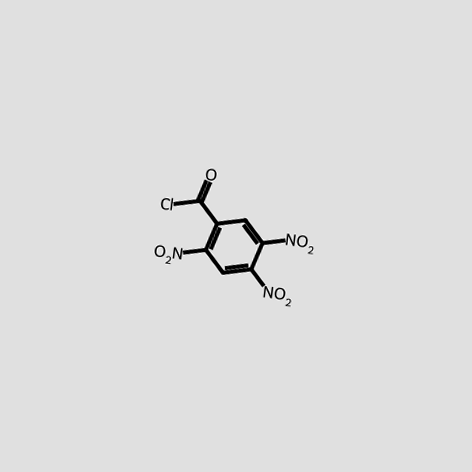 O=C(Cl)c1cc([N+](=O)[O-])c([N+](=O)[O-])cc1[N+](=O)[O-]